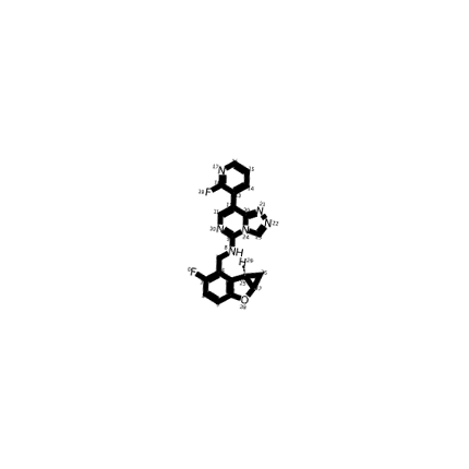 Fc1ccc2c(c1CNc1ncc(-c3cccnc3F)c3nncn13)[C@H]1CC1O2